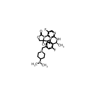 C[C@H](Nc1ncc(F)c(N2C(=O)OCC2(C)C2CC2)n1)c1ccc(CN2CCC(N(C)C)CC2)cc1F